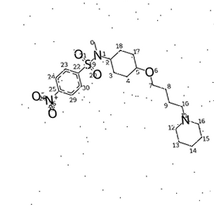 CN(C1CCC(OCCCCN2CCCCC2)CC1)S(=O)(=O)c1ccc([N+](=O)[O-])cc1